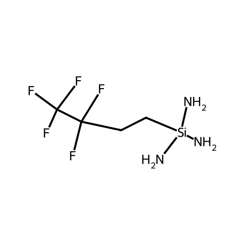 N[Si](N)(N)CCC(F)(F)C(F)(F)F